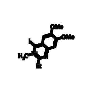 CCc1nc2cc(OC)c(OC)cc2c(I)[n+]1C